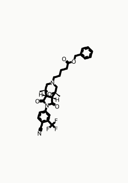 C[C@]12CN(CCCCC(=O)OCc3ccccc3)C[C@](C)(O1)[C@H]1C(=O)N(c3ccc(C#N)c(C(F)(F)F)c3)C(=O)[C@H]12